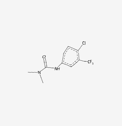 CN(C)C(=O)Nc1ccc(Cl)c(C(F)(F)F)c1